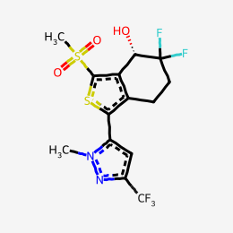 Cn1nc(C(F)(F)F)cc1-c1sc(S(C)(=O)=O)c2c1CCC(F)(F)[C@H]2O